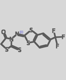 O=C1CSC(=S)N1/N=c1\sc2ccc(C(F)(F)F)cc2s1